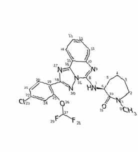 CN1CCCC[C@H](Nc2nc3ccccc3c3nc(-c4ccc(Cl)cc4OC(F)F)nn23)C1=O